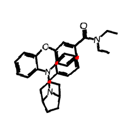 CCN(CC)C(=O)c1ccc2c(c1)Oc1ccccc1N2C1CC2CCC(C1)N2Cc1ccccc1